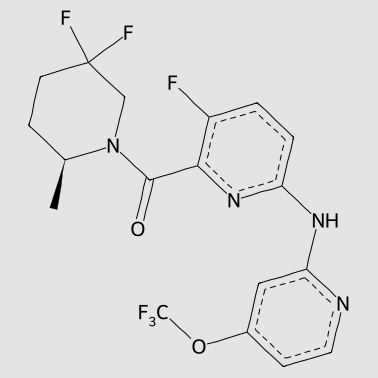 C[C@H]1CCC(F)(F)CN1C(=O)c1nc(Nc2cc(OC(F)(F)F)ccn2)ccc1F